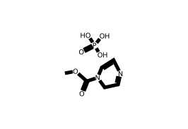 COC(=O)N1C=CN=CC1.O=P(O)(O)O